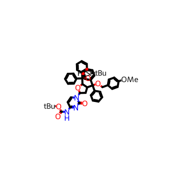 COc1ccc(COC(c2ccccc2)(c2ccccc2)C2CC(n3ccc(NC(=O)OC(C)(C)C)nc3=O)OC2C(O[SiH2]C(C)(C)C)(c2ccccc2)c2ccccc2)cc1